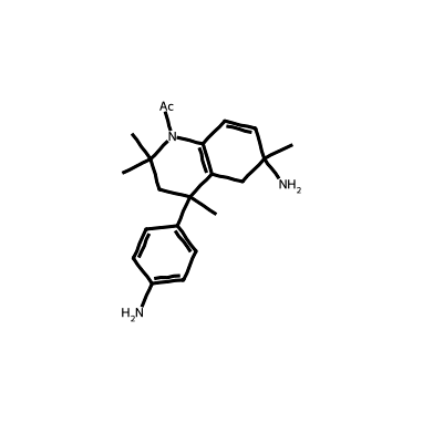 CC(=O)N1C2=C(CC(C)(N)C=C2)C(C)(c2ccc(N)cc2)CC1(C)C